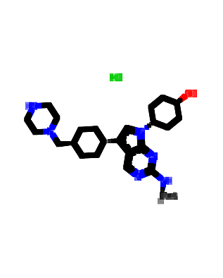 CCC[C@H](C)Nc1ncc2c(n1)n([C@H]1CC[C@H](O)CC1)cc2[C@H]1CC[C@H](CN2CCNCC2)CC1.Cl